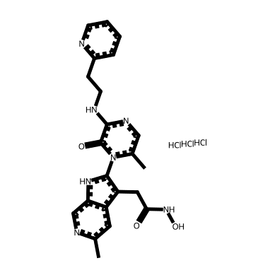 Cc1cc2c(CC(=O)NO)c(-n3c(C)cnc(NCCc4ccccn4)c3=O)[nH]c2cn1.Cl.Cl.Cl